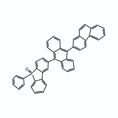 O=P1(c2ccccc2)c2ccccc2-c2cc(-c3c4ccccc4c(-c4ccc5c(ccc6ccccc65)c4)c4ccccc34)ccc21